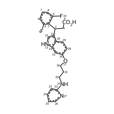 O=C(O)CC(c1c(F)cccc1F)c1c[nH]c2cc(OCCCNc3ccccn3)ccc12